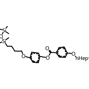 CCCCCCCOc1ccc(C(=O)Oc2ccc(OCCCC[Si](C)(C)O[Si](C)(C)C)cc2)cc1